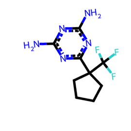 Nc1nc(N)nc(C2(C(F)(F)F)CCCC2)n1